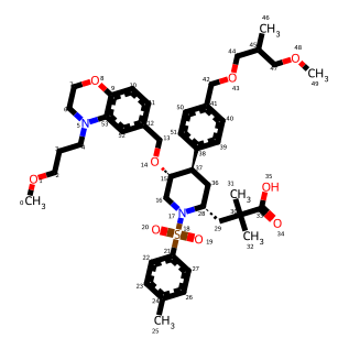 COCCCN1CCOc2ccc(CO[C@H]3CN(S(=O)(=O)c4ccc(C)cc4)[C@@H](CC(C)(C)C(=O)O)C[C@@H]3c3ccc(COCC(C)COC)cc3)cc21